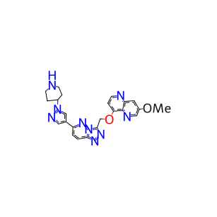 COc1cnc2c(OCc3nnc4ccc(-c5cnn(C6CCNCC6)c5)nn34)ccnc2c1